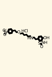 Cl.O=c1[nH]c2c(O)ccc(CCNCCCCCCOCCc3ccc([N+](=O)[O-])cc3)c2s1